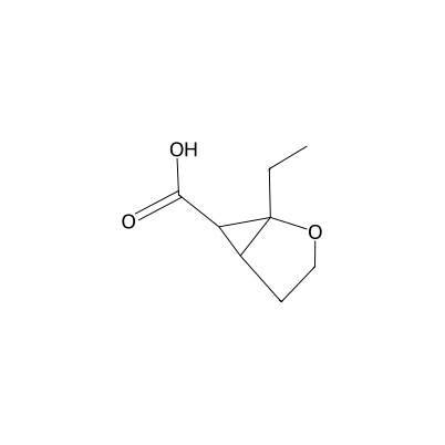 CCC12OCCC1C2C(=O)O